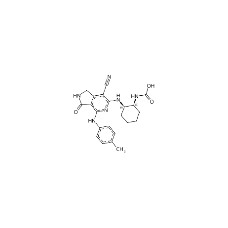 Cc1ccc(Nc2nc(N[C@@H]3CCCC[C@@H]3NC(=O)O)c(C#N)c3c2C(=O)NC3)cc1